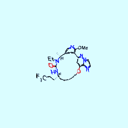 CCN1C(=O)N[C@@H](CCC(F)(F)F)CCCCCOc2cc(nn3ccnc23)-c2cc(cnc2OC)[C@H]1C